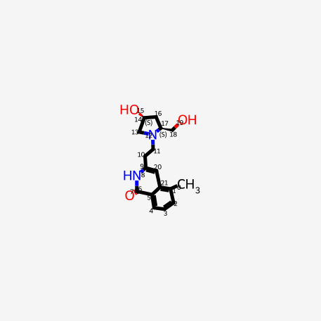 Cc1cccc2c(=O)[nH]c(CCN3C[C@@H](O)C[C@H]3CO)cc12